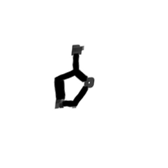 BrC1C=N[CH]O1